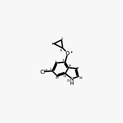 Clc1cc(OC2CC2)c2cc[nH]c2c1